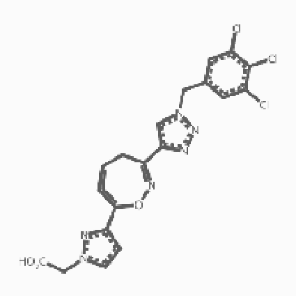 O=C(O)Cn1ccc(C2=C=CCC(c3cn(Cc4cc(Cl)c(Cl)c(Cl)c4)nn3)=NO2)n1